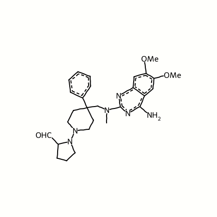 COc1cc2nc(N(C)CC3(c4ccccc4)CCN(N4CCCC4C=O)CC3)nc(N)c2cc1OC